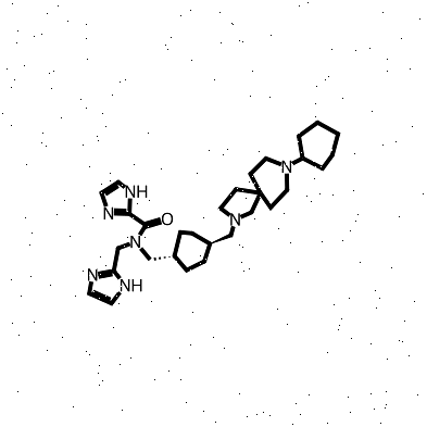 O=C(c1ncc[nH]1)N(Cc1ncc[nH]1)C[C@H]1CC[C@H](CN2CCC3(CCN(C4CCCCC4)CC3)C2)CC1